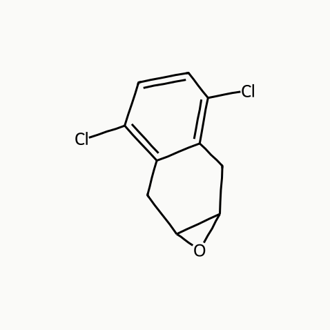 Clc1ccc(Cl)c2c1CC1OC1C2